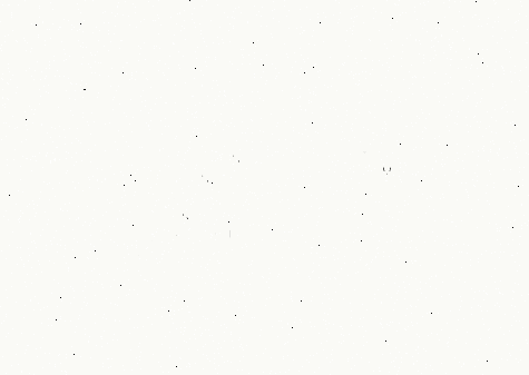 COC(=O)c1ccc(COc2cccc(N3CCN(C(=O)OC(C)(C)C)[C@@H](C)C3)n2)c(F)c1